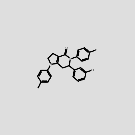 Cc1ccc(N2CCC3=C2CC(c2cccc(Cl)c2)N(c2ccc(Cl)cc2)C3=O)cc1